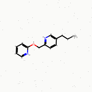 O=[N+]([O-])CCc1ccc(COc2ccccn2)nc1